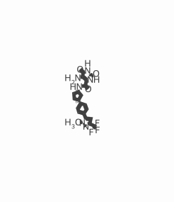 Cn1nc(C(F)(F)F)cc1-c1ccc([C@H]2CC[C@@H](NC(=O)c3[nH]c(=O)[nH]c(=O)c3N)C2)cc1